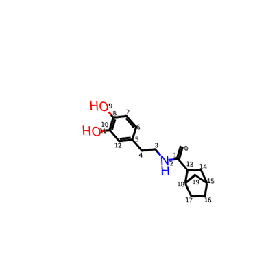 C=C(NCCc1ccc(O)c(O)c1)C1CC2CCC1C2